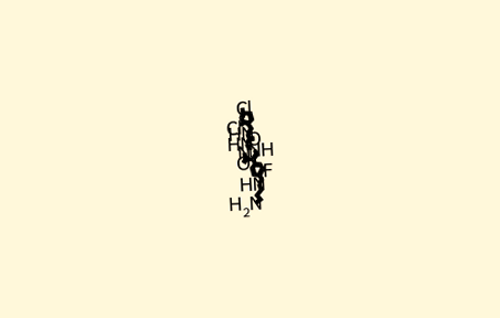 NCCCNCc1ccc(-c2c[nH]c(NC(=O)NCc3ccc(Cl)cc3Cl)nc2=O)cc1F